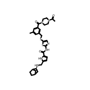 CC(=O)N1CCN(C(=O)c2cc(C)cc(CSc3cnc(NC(=O)c4ccc(CN[C@H]5CC6CCC5C6)[nH]4)s3)c2)CC1